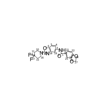 O=C(Nc1ccc2oc(N3CCC(F)(F)CC3)nc2c1)c1ccc2c(c1)OCO2